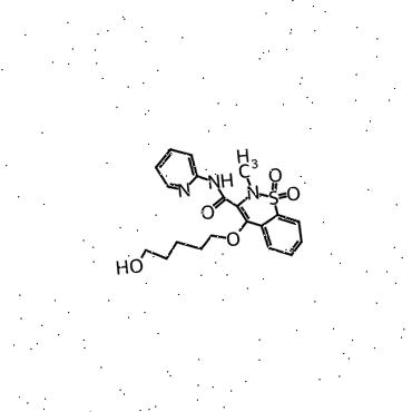 CN1C(C(=O)Nc2ccccn2)=C(OCCCCCO)c2ccccc2S1(=O)=O